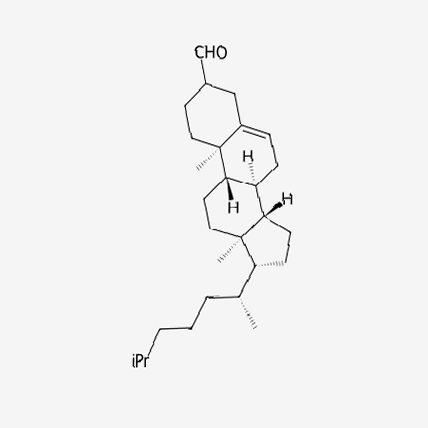 CC(C)CCC[C@@H](C)[C@H]1CC[C@H]2[C@@H]3CC=C4CC(C=O)CC[C@]4(C)[C@H]3CC[C@]12C